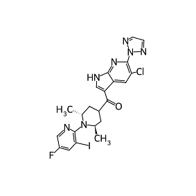 C[C@@H]1CC(C(=O)c2c[nH]c3nc(-n4nccn4)c(Cl)cc23)C[C@@H](C)N1c1ncc(F)cc1I